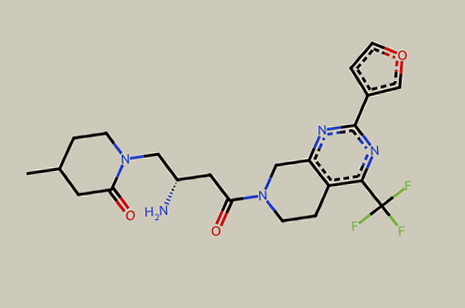 CC1CCN(C[C@@H](N)CC(=O)N2CCc3c(nc(-c4ccoc4)nc3C(F)(F)F)C2)C(=O)C1